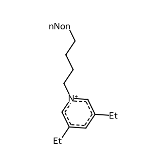 CCCCCCCCCCCCC[n+]1cc(CC)cc(CC)c1